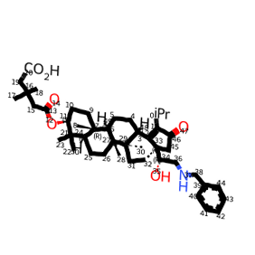 CC(C)C1=C2[C@H]3CC[C@@H]4[C@@]5(C)CC[C@H](OC(=O)CC(C)(C)CC(=O)O)C(C)(C)[C@@H]5CC[C@@]4(C)[C@]3(C)CC[C@@]2([C@@H](O)CNCc2ccccc2)CC1=O